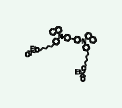 CCC1(COCCCCCc2ccc(N(c3ccc(-c4ccc(N(c5ccc(CCCCCOCC6(CC)COC6)cc5)c5cccc6ccccc56)cc4)cc3)c3cccc4ccccc34)cc2)COC1